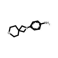 Nc1ccc(N2CC3(CCOCC3)C2)cc1